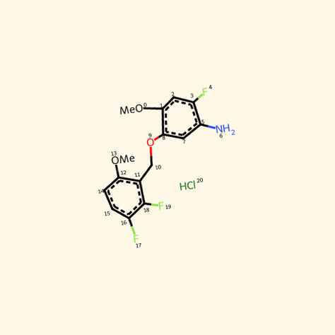 COc1cc(F)c(N)cc1OCc1c(OC)ccc(F)c1F.Cl